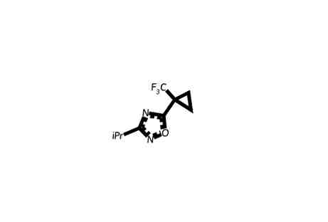 CC(C)c1noc(C2(C(F)(F)F)CC2)n1